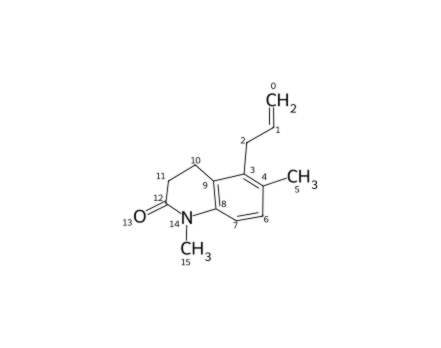 C=CCc1c(C)ccc2c1CCC(=O)N2C